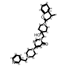 CC(CC(=O)N1CCC(O)(Cn2cnc(N3CCN(Cc4cccnc4)CC3)cc2=O)CC1)c1ccccc1